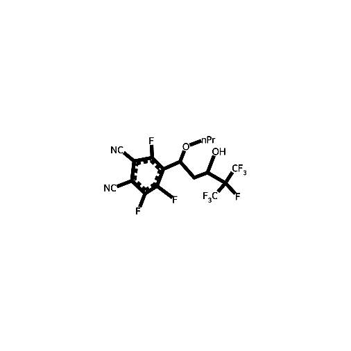 CCCOC(CC(O)C(F)(C(F)(F)F)C(F)(F)F)c1c(F)c(F)c(C#N)c(C#N)c1F